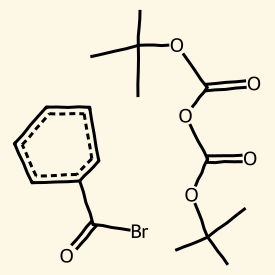 CC(C)(C)OC(=O)OC(=O)OC(C)(C)C.O=C(Br)c1ccccc1